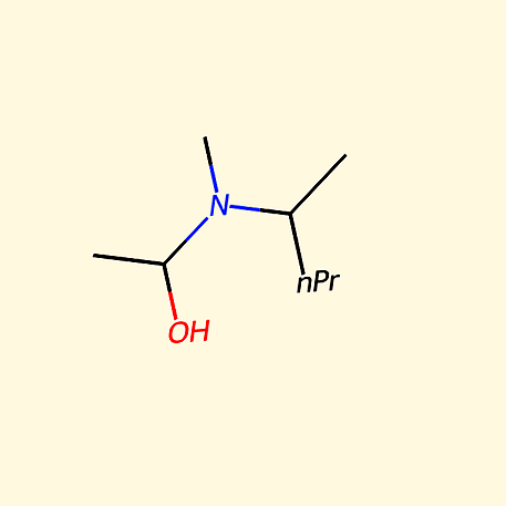 CCCC(C)N(C)C(C)O